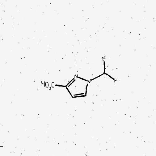 O=C(O)c1ccn(C(F)F)n1